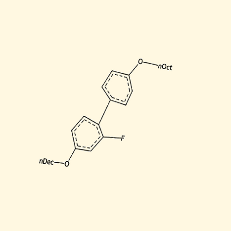 CCCCCCCCCCOc1ccc(-c2ccc(OCCCCCCCC)cc2)c(F)c1